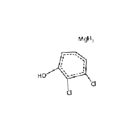 Oc1cccc(Cl)c1Cl.[MgH2]